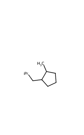 CC(C)C[C]1CCCC1C